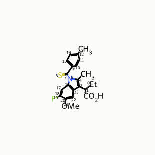 CCC(C(=O)O)c1c(C)n(C(=S)c2ccc(C)cc2)c2cc(F)c(OC)cc12